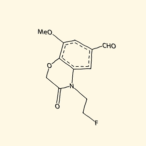 COc1cc(C=O)cc2c1OCC(=O)N2CCF